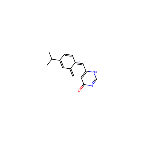 C=c1cc(C(C)C)cc/c1=C/c1cc(=O)nc[nH]1